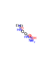 CCN(CC)CC(=O)Nc1ccc(-c2ccc(C(=O)N[C@@H](CN)C(=O)NO)cc2)cc1